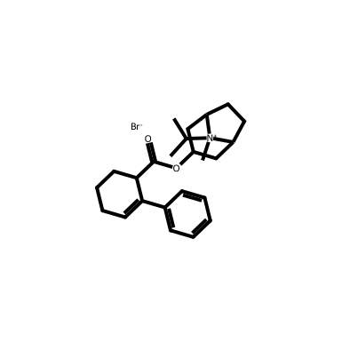 CC(C)[N+]1(C)C2CCC1CC(OC(=O)C1CCCC=C1c1ccccc1)C2.[Br-]